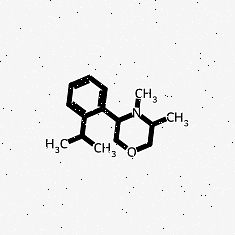 CC(C)c1ccccc1C1COCC(C)N1C